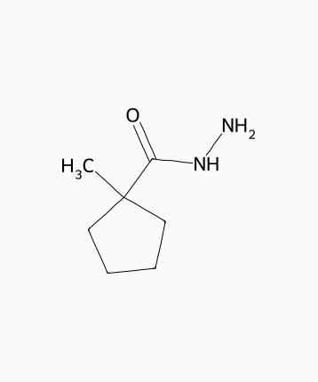 CC1(C(=O)NN)CCCC1